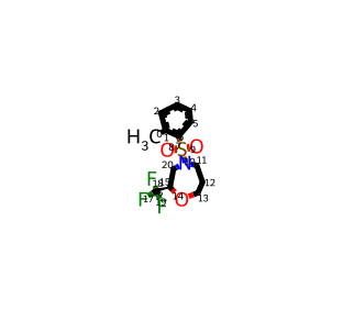 Cc1ccccc1S(=O)(=O)N1CCCO[C@@H](C(F)(F)F)C1